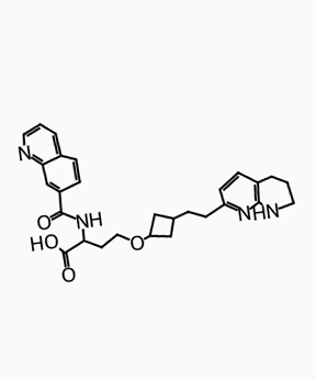 O=C(NC(CCOC1CC(CCc2ccc3c(n2)NCCC3)C1)C(=O)O)c1ccc2cccnc2c1